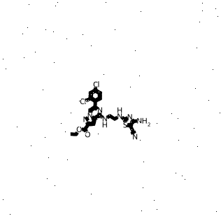 CCOC(=O)c1cc2c(NCCNc3nc(N)c(C#N)s3)nc(-c3ccc(Cl)cc3Cl)cn2n1